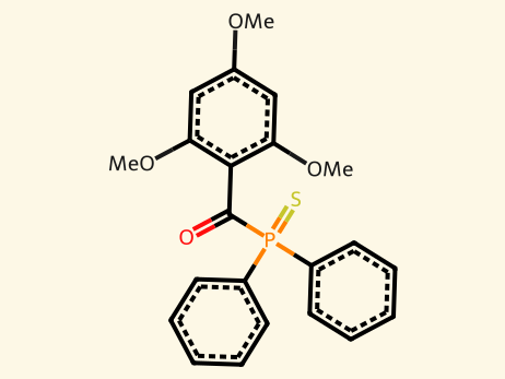 COc1cc(OC)c(C(=O)P(=S)(c2ccccc2)c2ccccc2)c(OC)c1